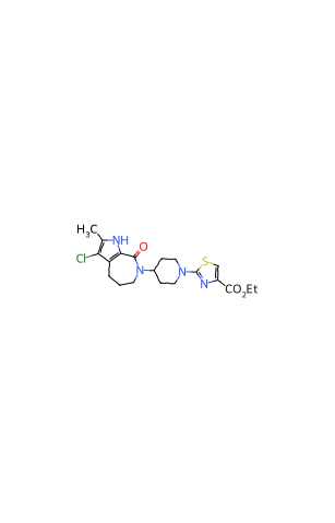 CCOC(=O)c1csc(N2CCC(N3CCCc4c([nH]c(C)c4Cl)C3=O)CC2)n1